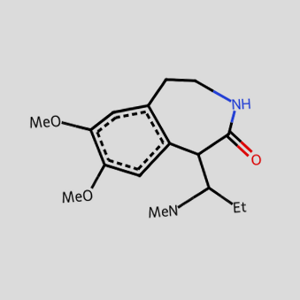 CCC(NC)C1C(=O)NCCc2cc(OC)c(OC)cc21